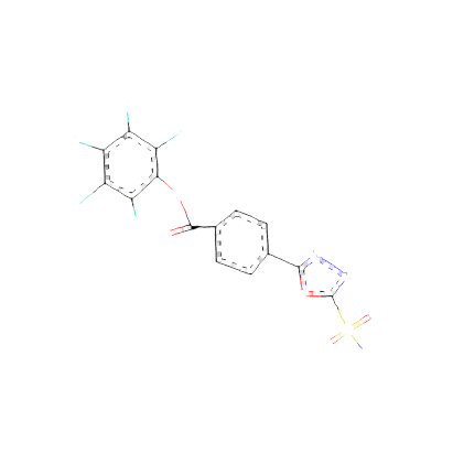 CS(=O)(=O)c1nnc(-c2ccc(C(=O)Oc3c(F)c(F)c(F)c(F)c3F)cc2)o1